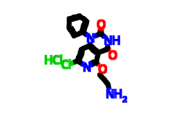 Cl.NCCOc1nc(Cl)cc2c1c(=O)[nH]c(=O)n2-c1ccccc1